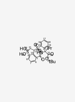 CC(C)C(NC(=O)c1cccc2c1C(S(=O)(=O)c1ccccc1)CS2(O)O)C(=O)OC(C)(C)C